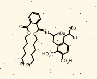 CC(C)CCCCCOC(=O)c1ccccc1C(=O)OCCCCCC(C)C.CCCCC(CC)Cc1ccc(C(=O)O)c(C(=O)O)c1CC(CC)CCCC